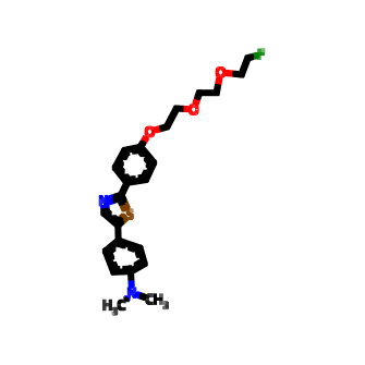 CN(C)c1ccc(-c2cnc(-c3ccc(OCCOCCOCCF)cc3)s2)cc1